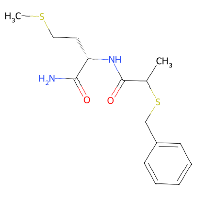 CSCC[C@H](NC(=O)C(C)SCc1ccccc1)C(N)=O